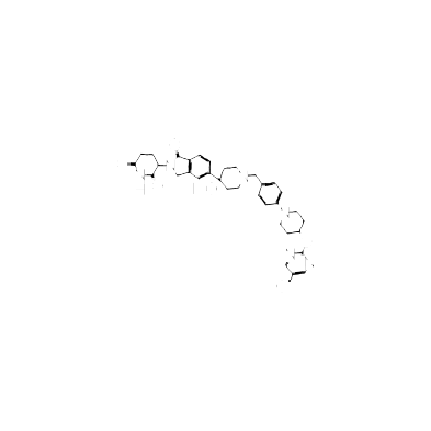 O=C1CCC(N2Cc3cc(C4(O)CCN(Cc5ccc(N6CCC(Oc7ncc(Cl)cn7)CC6)cc5)CC4)ccc3C2=O)C(=O)N1